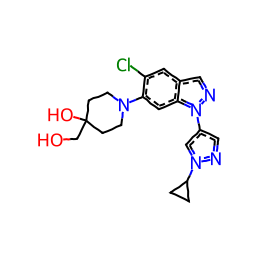 OCC1(O)CCN(c2cc3c(cnn3-c3cnn(C4CC4)c3)cc2Cl)CC1